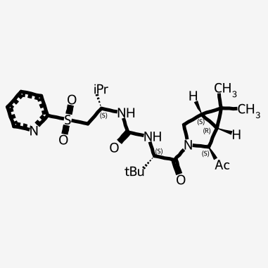 CC(=O)[C@@H]1[C@@H]2[C@H](CN1C(=O)[C@@H](NC(=O)N[C@H](CS(=O)(=O)c1ccccn1)C(C)C)C(C)(C)C)C2(C)C